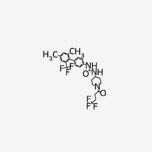 Cc1cc(C)c(-c2ccc(NC(=O)NC3CCN(C(=O)CCC(F)(F)F)CC3)cc2)c(C(F)(F)F)c1